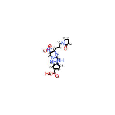 NN1CC([N+](=O)[O-])=C(CCCN2CCCC2=O)N=C1Nc1ccc(C(=O)O)cc1